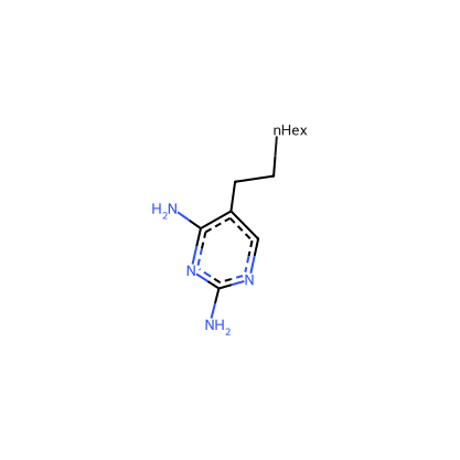 CCCCCCCCc1cnc(N)nc1N